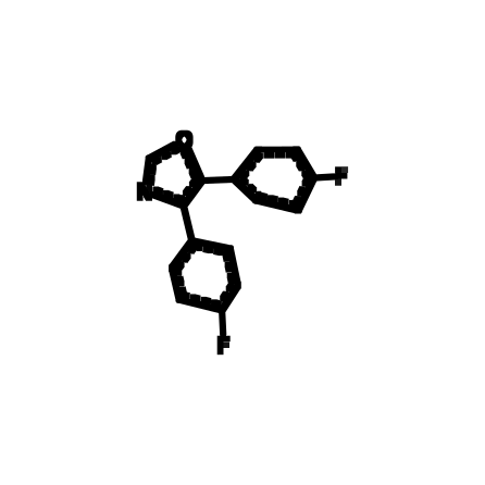 Fc1ccc(-c2ncoc2-c2ccc(F)cc2)cc1